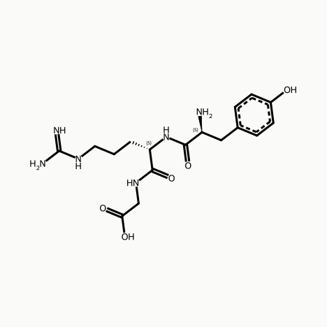 N=C(N)NCCC[C@H](NC(=O)[C@@H](N)Cc1ccc(O)cc1)C(=O)NCC(=O)O